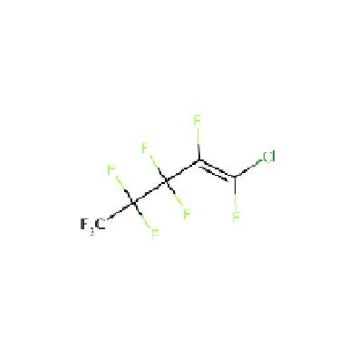 F/C(Cl)=C(/F)C(F)(F)C(F)(F)C(F)(F)F